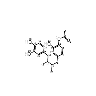 CC(=O)Oc1ccc(CC(C)C(C)Cc2ccc(O)c(O)c2)cc1O